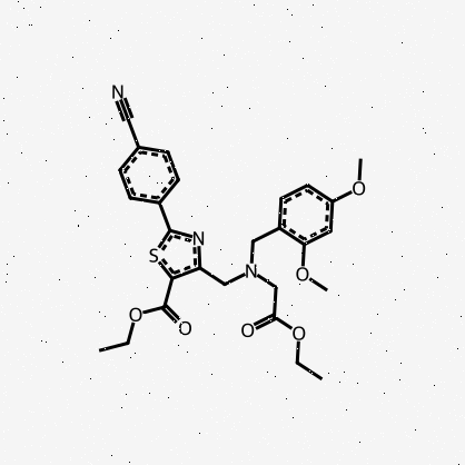 CCOC(=O)CN(Cc1ccc(OC)cc1OC)Cc1nc(-c2ccc(C#N)cc2)sc1C(=O)OCC